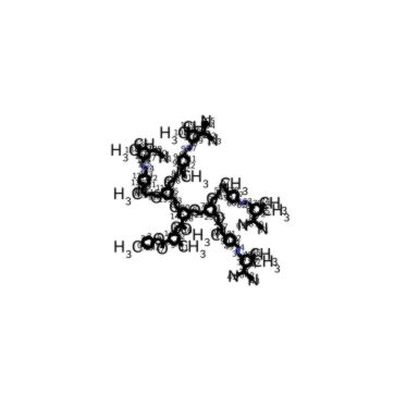 Cc1ccc(OC(=O)c2cc(C)cc(OC(=O)c3cc(OCc4cc(OCCN(C)c5ccc(/C=C/C6=CC(=C(C#N)C#N)CC(C)(C)C6)cc5)cc(OCCN(C)c5ccc(/C=C/C6=CC(=C(C#N)C#N)CC(C)(C)C6)cc5)c4)cc(OCc4cc(OCCN(C)c5ccc(/C=C/C6=CC(=C(C#N)C#N)CC(C)(C)C6)cc5)cc(OCCN(C)c5ccc(/C=C/C6=CC(CC#N)CC(C)(C)C6)cc5)c4)c3)c2)cc1